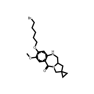 COc1cc2c(cc1OCCCCCBr)NCC1CC3(CC3)CN1C2=O